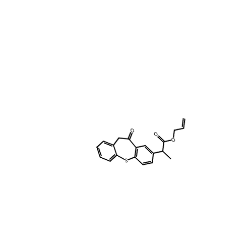 C=CCOC(=O)C(C)c1ccc2c(c1)C(=O)Cc1ccccc1S2